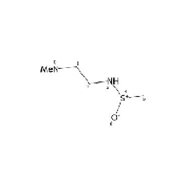 CNCCN[S+](C)[O-]